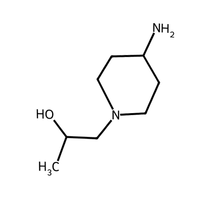 CC(O)CN1CCC(N)CC1